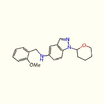 COc1ccccc1CNc1ccc2c(cnn2C2CCCCO2)c1